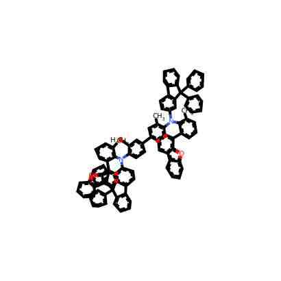 Cc1cc(-c2ccc(N(c3ccc4c(c3)C(c3ccccc3)(c3ccccc3)c3ccccc3-4)c3c(C)cccc3-c3cccc4c3oc3ccccc34)c(C)c2)ccc1N(c1ccc2c(c1)C(c1ccccc1)(c1ccccc1)c1ccccc1-2)c1c(C)cccc1-c1cccc2c1oc1ccccc12